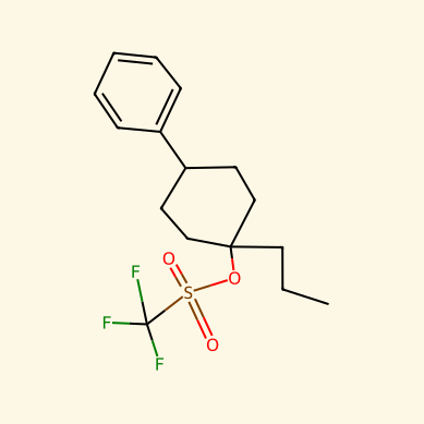 CCCC1(OS(=O)(=O)C(F)(F)F)CCC(c2ccccc2)CC1